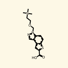 C[Si](C)(C)CCOCn1ncc2c3cc(C(=O)O)sc3ccc21